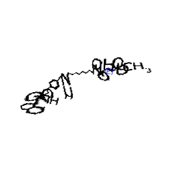 COC(=O)/C=C/C(=O)N(O)CCCCCCCCNCc1ccc(COC(=O)Nc2cccc3ccccc23)cc1